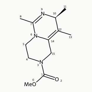 COC(=O)N1CCN2C(C)=N[C@@H](C)C(C)=C2C1